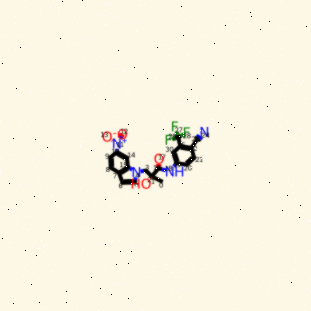 CC(O)(Cn1ccc2ccc([N+](=O)[O-])cc21)C(=O)Nc1ccc(C#N)c(C(F)(F)F)c1